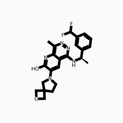 Cc1nnc(N[C@H](C)c2cccc(C(F)F)c2)c2cc(N3CCC4(COC4)C3)c(O)nc12